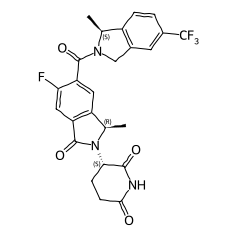 C[C@@H]1c2cc(C(=O)N3Cc4cc(C(F)(F)F)ccc4[C@@H]3C)c(F)cc2C(=O)N1[C@H]1CCC(=O)NC1=O